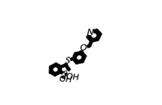 OS1(O)CC(Sc2cccc(OCc3cccnc3)c2)c2ccccc21